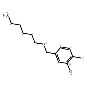 CCCCCCOCc1ccc(Br)c(Cl)c1